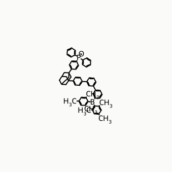 Cc1cc(C)c(B(c2cccc(-c3cccc(-c4ccc(C56CC7CC(C5)CC(c5ccc(P(=O)(c8ccccc8)c8ccccc8)cc5)(C7)C6)cc4)c3)c2)c2c(C)cc(C)cc2C)c(C)c1